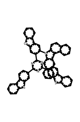 c1ccc2cc3c(cc2c1)c1c2ccccc2ccc1n3-c1cc2c(cc1-c1nc(-c3ccc4c(c3)sc3ccccc34)nc(-c3ccc4c(c3)sc3ccccc34)n1)oc1ccccc12